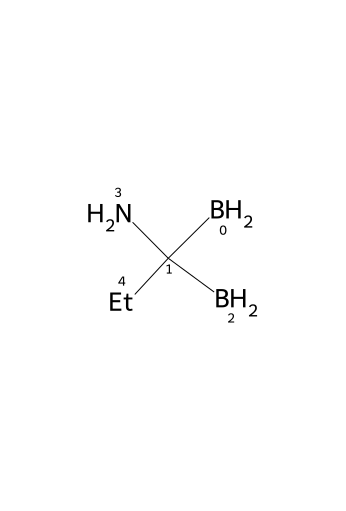 BC(B)(N)CC